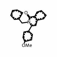 COc1ccc(-c2cc3ccccc3c(=O)n2Cc2ccccc2)cc1